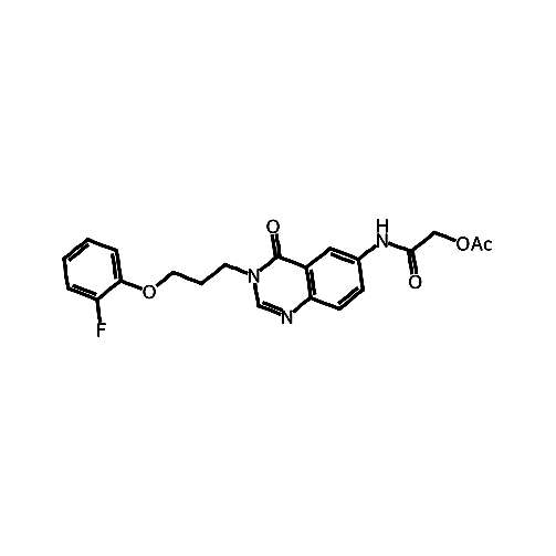 CC(=O)OCC(=O)Nc1ccc2ncn(CCCOc3ccccc3F)c(=O)c2c1